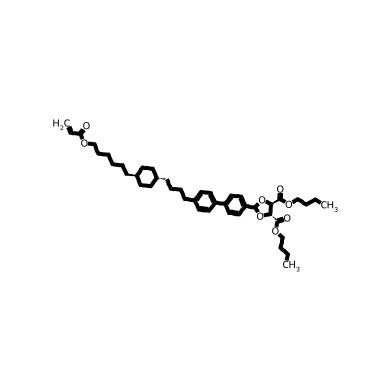 C=CC(=O)OCCCCCC[C@H]1CC[C@H](CCCCc2ccc(-c3ccc(C4O[C@@H](C(=O)OCCCC)[C@H](C(=O)OCCCC)O4)cc3)cc2)CC1